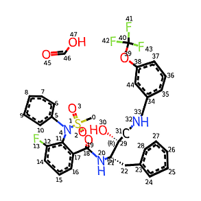 CS(=O)(=O)N(c1ccccc1)c1c(F)cccc1C(=O)N[C@@H](Cc1ccccc1)[C@H](O)CNCc1cccc(OC(F)(F)F)c1.O=CO